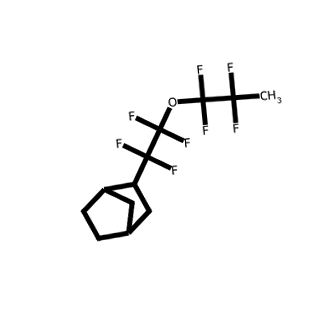 CC(F)(F)C(F)(F)OC(F)(F)C(F)(F)C1CC2CCC1C2